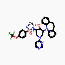 CN=S(=O)(NC1CN(c2ccncn2)CC(N2c3ccccc3CCc3ccccc32)C1O)c1ccc(OC(F)(F)F)cc1